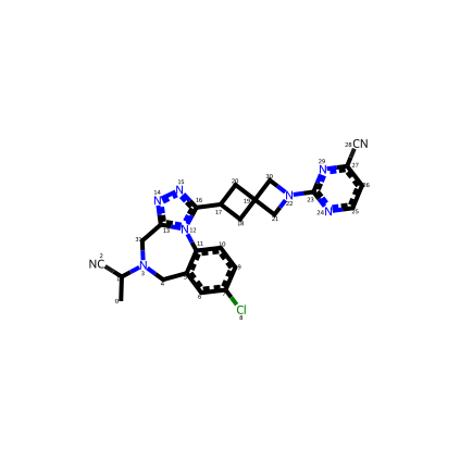 CC(C#N)N1Cc2cc(Cl)ccc2-n2c(nnc2C2CC3(C2)CN(c2nccc(C#N)n2)C3)C1